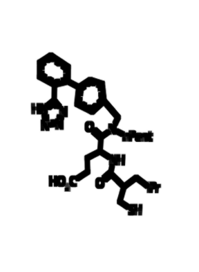 CCCCCN(Cc1ccc(-c2ccccc2-c2nnn[nH]2)cc1)C(=O)C(CCC(=O)O)NC(=O)C(CS)CC(C)C